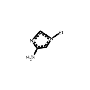 [CH2]Cn1cnc(N)c1